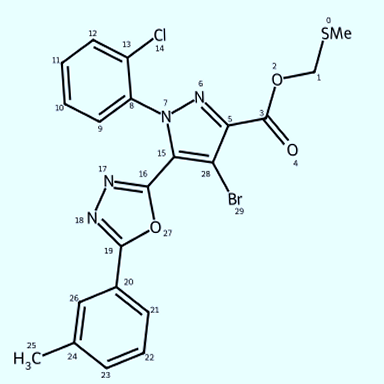 CSCOC(=O)c1nn(-c2ccccc2Cl)c(-c2nnc(-c3cccc(C)c3)o2)c1Br